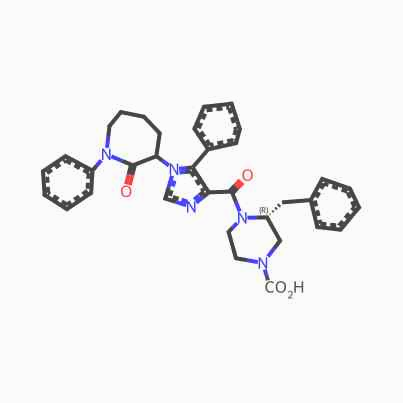 O=C(O)N1CCN(C(=O)c2ncn(C3CCCCN(c4ccccc4)C3=O)c2-c2ccccc2)[C@H](Cc2ccccc2)C1